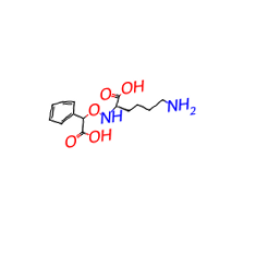 NCCCC[C@@H](NOC(C(=O)O)c1ccccc1)C(=O)O